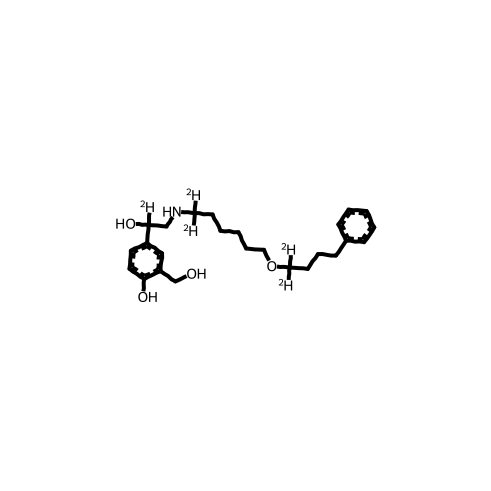 [2H]C([2H])(CCCCCOC([2H])([2H])CCCc1ccccc1)NCC([2H])(O)c1ccc(O)c(CO)c1